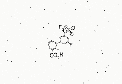 Cc1c(C(=O)O)cccc1-c1cc(F)cc(OS(=O)(=O)C(F)(F)F)c1